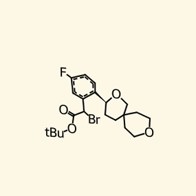 CC(C)(C)OC(=O)C(Br)c1cc(F)ccc1[C@@H]1CCC2(CCOCC2)CO1